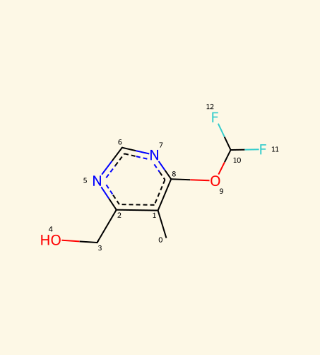 Cc1c(CO)ncnc1OC(F)F